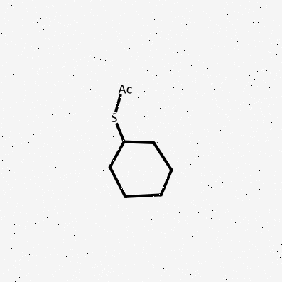 CC(=O)SC1[CH]CCCC1